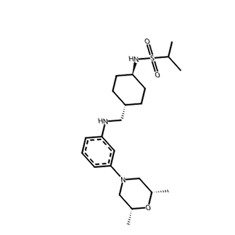 CC(C)S(=O)(=O)N[C@H]1CC[C@H](CNc2cccc(N3C[C@@H](C)O[C@@H](C)C3)c2)CC1